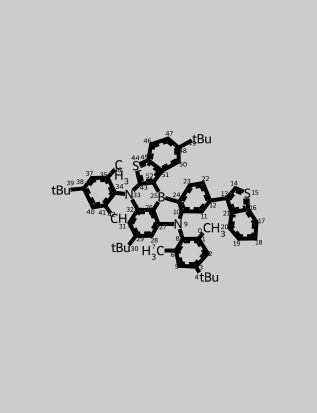 Cc1cc(C(C)(C)C)cc(C)c1N1c2cc(-c3csc4ccccc34)ccc2B2c3c1cc(C(C)(C)C)cc3N(c1c(C)cc(C(C)(C)C)cc1C)c1sc3ccc(C(C)(C)C)cc3c12